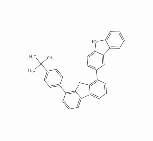 CC(C)(C)c1ccc(-c2cccc3c2sc2c(-c4ccc5[nH]c6ccccc6c5c4)cccc23)cc1